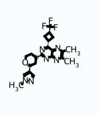 Cc1nc2nc([C@@H]3CCO[C@H](c4cnn(C)c4)C3)nc([C@H]3C[C@H](C(F)(F)F)C3)c2nc1C